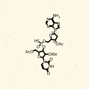 COC1C(OP(=O)(S)OCC2O[C@@H](n3cnc4c(N)ncnc43)C[C@H]2OC(C)=O)C(COC(C)=O)OC1n1ccc(=O)[nH]c1=O